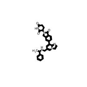 CC(NCc1cc(-c2ccc3c(c2)CN(C2CCC(=O)NC2=O)C3=O)c2nccn2c1)c1ccccc1